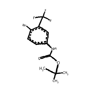 CC(C)(C)OC(=O)Nc1ccc(Br)c(C(F)(F)F)c1